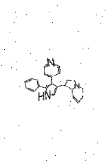 C1=CC2C(c3c[nH]c(-c4ccccc4)c3-c3ccncc3)CCN2CC1